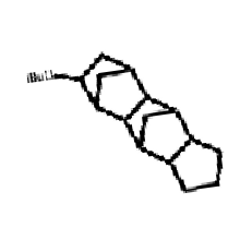 CC(C)COC1CC2CC1C1C3CC(C4CCCC43)C21